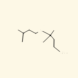 CCCCCCCCCCCC(C)(C)NCCC(C)S(=O)(=O)O.O